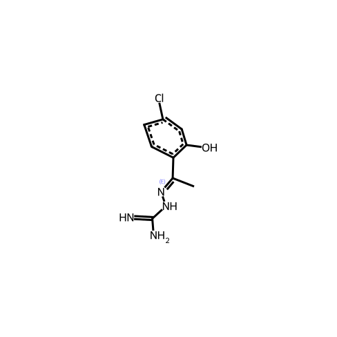 C/C(=N\NC(=N)N)c1ccc(Cl)cc1O